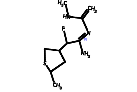 C=C(/N=C(/N)C(F)C1CSC(C)C1)NC